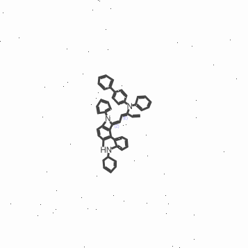 C=C/C(=C\C=C1\c2c(ccc(C)c2-c2ccccc2NC2C=CC=CC2)N1c1ccccc1)N(c1ccccc1)c1ccc(-c2ccccc2)cc1